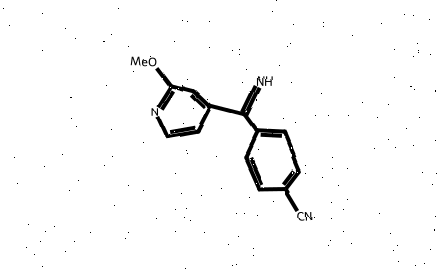 COc1cc(C(=N)c2ccc(C#N)cc2)ccn1